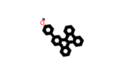 COc1ccc(-c2ccc3c4ccccc4c4c5ccccc5c5ccccc5c4c3c2)cc1